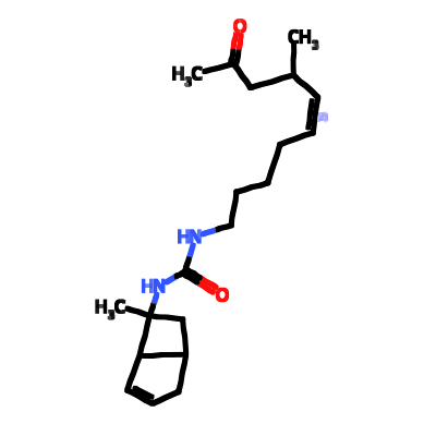 CC(=O)CC(C)/C=C\CCCCNC(=O)NC1(C)CC2CC=CC21